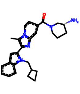 Cc1c(-c2cc3ccccc3n2CC2CCC2)nc2cc(C(=O)N3CCC[C@@H](N)C3)ccn12